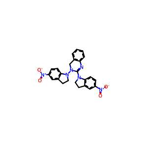 O=[N+]([O-])c1ccc2c(c1)CCN2C1=Nc2ccccc2CN1N1CCc2cc([N+](=O)[O-])ccc21